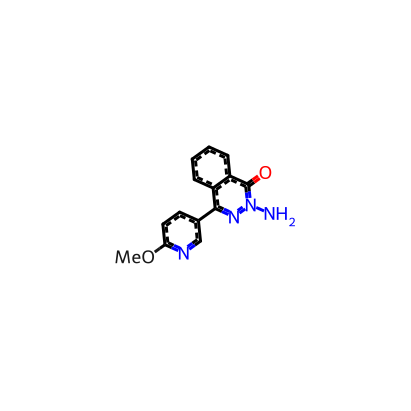 COc1ccc(-c2nn(N)c(=O)c3ccccc23)cn1